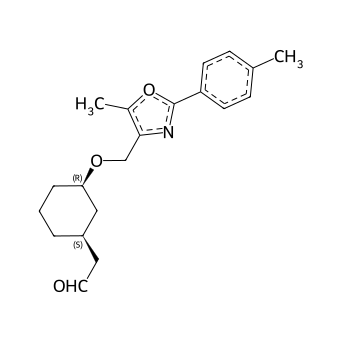 Cc1ccc(-c2nc(CO[C@@H]3CCC[C@H](CC=O)C3)c(C)o2)cc1